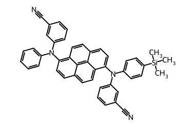 C[Si](C)(C)c1ccc(N(c2cccc(C#N)c2)c2ccc3ccc4c(N(c5ccccc5)c5cccc(C#N)c5)ccc5ccc2c3c54)cc1